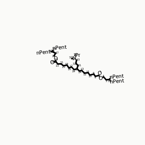 CCCCCC(CCCCC)CCOC(=O)CCCCCCCC(CCCCCCCC(=O)OCCC(CCCCC)CCCCC)CCCN(C)C(C)C